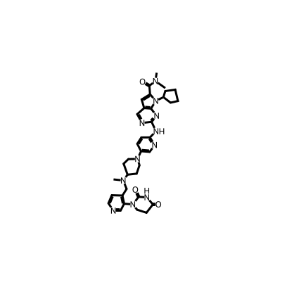 CN(C)C(=O)c1cc2cnc(Nc3ccc(N4CCC(N(C)Cc5ccncc5N5CCC(=O)NC5=O)CC4)cn3)nc2n1C1CCCC1